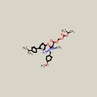 CN/C(C(=O)OCOC(=O)OC(C)C)=C(/Oc1ccc(-c2ccc(C(C)C)cc2)cc1)N(N)Cc1ccc(OC)cc1